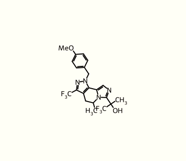 COc1ccc(Cn2nc(C(F)(F)F)c3c2-c2cnc(C(C)(O)C(F)(F)F)n2C(C)C3)cc1